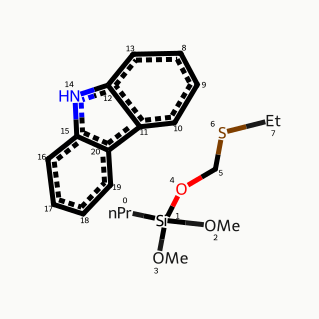 CCC[Si](OC)(OC)OCSCC.c1ccc2c(c1)[nH]c1ccccc12